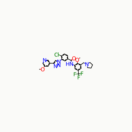 COc1cncc(-c2cn(-c3cc(C(=O)Nc4cc(C(F)(F)F)cc(CN5CCCC5)c4OC)ccc3Cl)nn2)c1